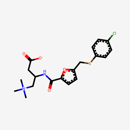 C[N+](C)(C)CC(CC(=O)[O-])NC(=O)c1ccc(CSc2ccc(Cl)cc2)o1